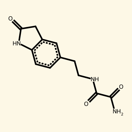 NC(=O)C(=O)NCCc1ccc2c(c1)CC(=O)N2